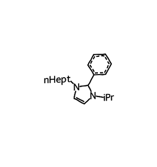 CCCCCCCN1C=CN(C(C)C)C1c1ccccc1